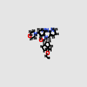 CCO[C@H]1CCC2[C@H](C(=O)N3Cc4cccnc4Nc4ccc(N5CCOCC5)cc43)CC[C@@H]21